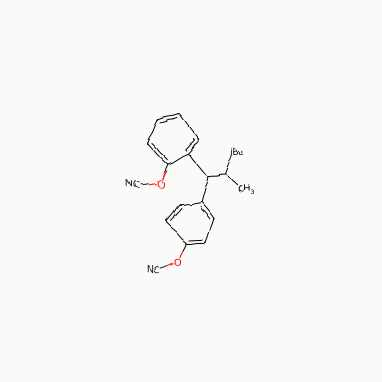 CCC(C)C(C)C(c1ccc(OC#N)cc1)c1ccccc1OC#N